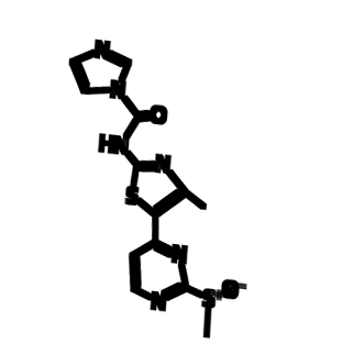 Cc1nc(NC(=O)n2ccnc2)sc1-c1ccnc([S+](C)[O-])n1